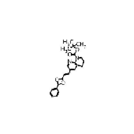 CC(C)(C)OC(=O)N1CCCc2cc(/C=C/C3OC(c4ccccc4)O3)cnc21